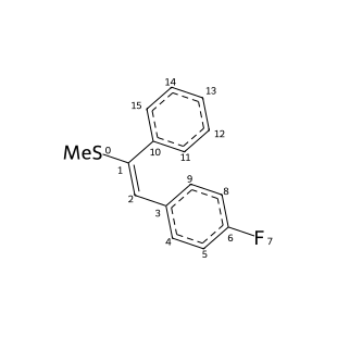 CSC(=Cc1ccc(F)cc1)c1ccccc1